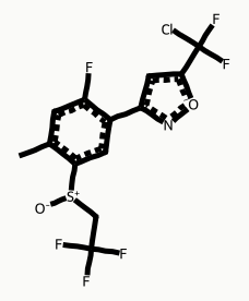 Cc1cc(F)c(-c2cc(C(F)(F)Cl)on2)cc1[S+]([O-])CC(F)(F)F